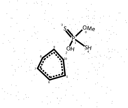 COP(O)(=S)S.c1ccccc1